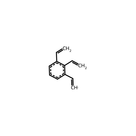 [CH]=Cc1cccc(C=C)c1C=C